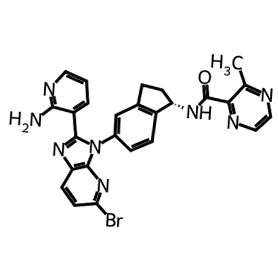 Cc1nccnc1C(=O)N[C@H]1CCc2cc(-n3c(-c4cccnc4N)nc4ccc(Br)nc43)ccc21